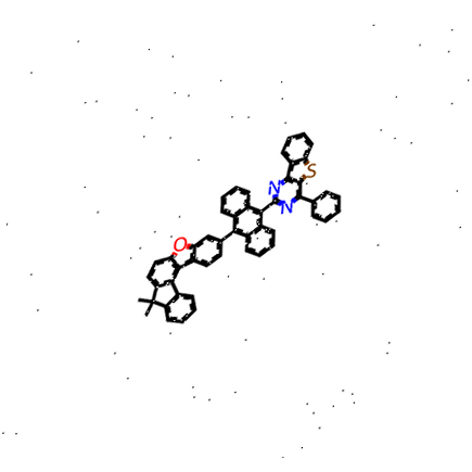 CC1(C)c2ccccc2-c2c1ccc1oc3cc(-c4c5ccccc5c(-c5nc(-c6ccccc6)c6sc7ccccc7c6n5)c5ccccc45)ccc3c21